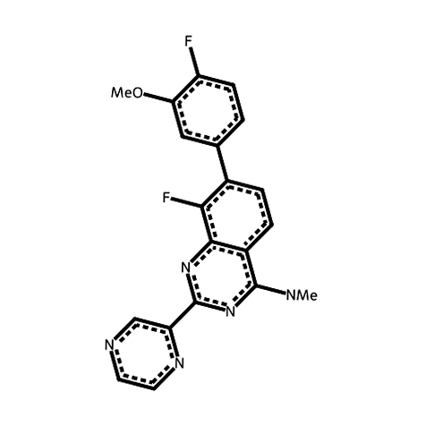 CNc1nc(-c2cnccn2)nc2c(F)c(-c3ccc(F)c(OC)c3)ccc12